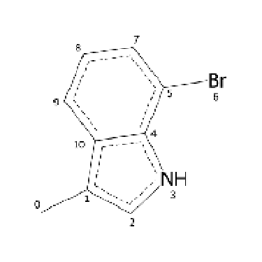 Cc1c[nH]c2c(Br)cccc12